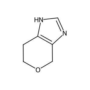 c1nc2c([nH]1)CCOC2